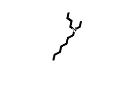 CCCCCCCN(CC)CCCC